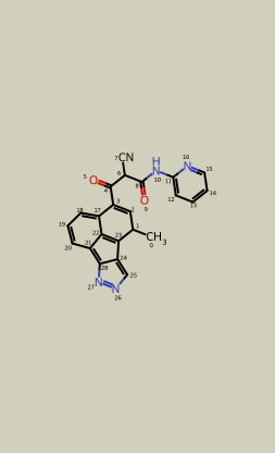 CC1C=C(C(=O)C(C#N)C(=O)Nc2ccccn2)c2cccc3c2=C1C1=CN=NC=31